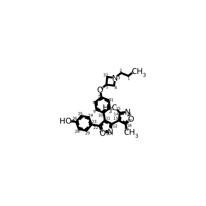 CCCN1CC(Oc2ccc(-c3c(-c4c(C)noc4C)noc3-c3ccc(O)cc3)cc2)C1